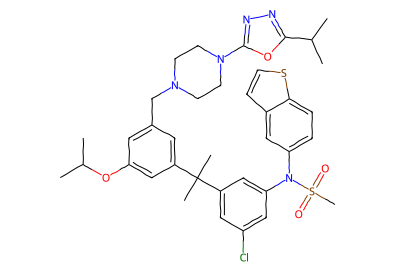 CC(C)Oc1cc(CN2CCN(c3nnc(C(C)C)o3)CC2)cc(C(C)(C)c2cc(Cl)cc(N(c3ccc4sccc4c3)S(C)(=O)=O)c2)c1